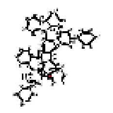 c1ccc(C2=NC(c3ccccc3-n3c4ccccc4c4ccc(-n5c6ccccc6c6cccc(-c7cccc(-c8ccccc8)c7)c65)cc43)NC(c3ccccc3)=N2)cc1